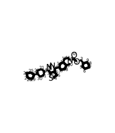 O=C(OCc1ccccc1)N1CCc2cc(-c3nnc([C@H]4CC[C@H](c5ccccc5)CC4)c4sccc34)ccc2C1